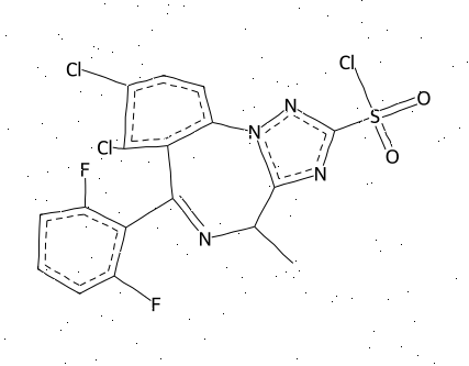 CC1N=C(c2c(F)cccc2F)c2c(ccc(Cl)c2Cl)-n2nc(S(=O)(=O)Cl)nc21